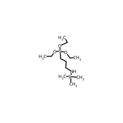 CCO[Si](CCCN[Si](C)(C)C)(OCC)OCC